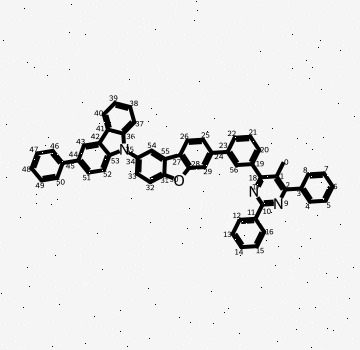 Cc1c(-c2ccccc2)nc(-c2ccccc2)nc1-c1cccc(-c2ccc3c(c2)oc2ccc(-n4c5ccccc5c5cc(-c6ccccc6)ccc54)cc23)c1